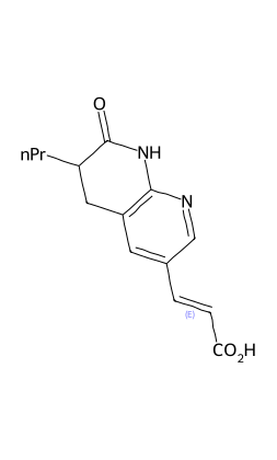 CCCC1Cc2cc(/C=C/C(=O)O)cnc2NC1=O